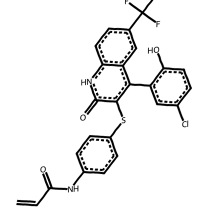 C=CC(=O)Nc1ccc(Sc2c(-c3cc(Cl)ccc3O)c3cc(C(F)(F)F)ccc3[nH]c2=O)cc1